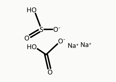 O=C([O-])O.O=S([O-])O.[Na+].[Na+]